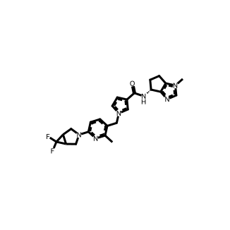 Cc1nc(N2CC3C(C2)C3(F)F)ccc1Cn1ccc(C(=O)N[C@@H]2CCc3c2ncn3C)c1